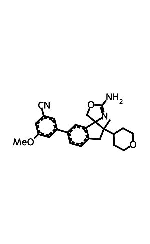 COc1cc(C#N)cc(-c2ccc3c(c2)C2(COC(N)=N2)C(C)(C2CCOCC2)C3)c1